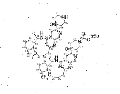 C[C@H]1Nc2nc(nc3cnc(P4(=O)CCN(C(=O)OC(C)(C)C)CC4)cc23)CCCOc2c1cccc2C(F)(F)F.C[C@H]1Nc2nc(nc3cnc(P4(=O)CCNCC4)cc23)CCCOc2c1cccc2C(F)(F)F